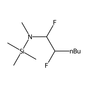 CCCCC(F)C(F)N(C)[Si](C)(C)C